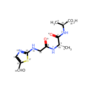 C[C@H](NC(=O)[C@H](C)NC(=O)CNc1ncc(C=O)s1)C(=O)O